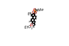 CCOC(=O)CC1CC2C3CCc4cc(OS(=O)(=O)NC)c(CC)cc4C3C[C@@H](C)C2C1=O